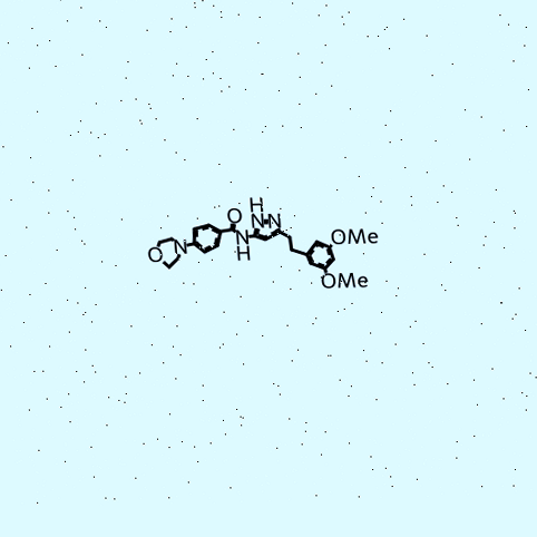 COc1cc(CCc2cc(NC(=O)c3ccc(N4CCOCC4)cc3)[nH]n2)cc(OC)c1